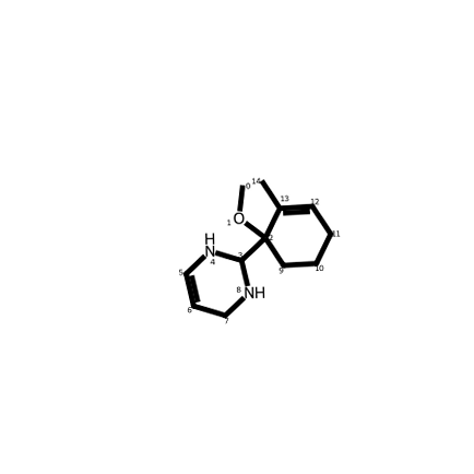 COC1(C2NC=CCN2)CCCC=C1C